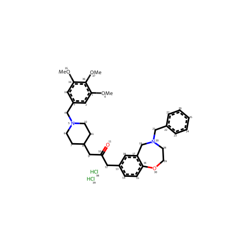 COc1cc(CN2CCC(CC(=O)Cc3ccc4c(c3)CN(Cc3ccccc3)CCO4)CC2)cc(OC)c1OC.Cl.Cl